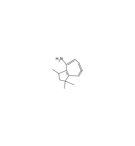 CC1CC(C)(C)C2=C1C(N)=CC=C=C2